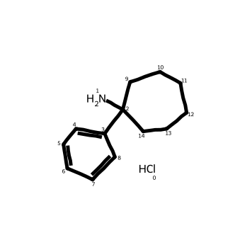 Cl.NC1(c2ccccc2)CCCCCC1